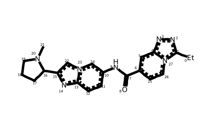 CCc1nnc2cc(C(=O)Nc3ccc4nc(C5CCCN5C)cn4c3)ccn12